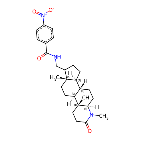 CN1C(=O)CC[C@]2(C)[C@H]3CC[C@]4(C)C(CNC(=O)c5ccc([N+](=O)[O-])cc5)CC[C@H]4[C@@H]3CC[C@@H]12